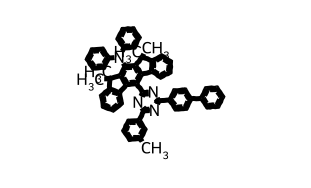 Cc1cccc(-c2nc(-c3ccc(-c4ccccc4)cc3)nc(-c3c4c(c(N(c5ccccc5)c5ccccc5)c5c3-c3ccccc3C5(C)C)C(C)(C)c3ccccc3-4)n2)c1